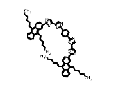 CCCCCCc1c2ccccc2c(CCCCCC)c2cc(-c3ncc(-c4cnc(-c5ccc(-c6ncc(-c7cnc(-c8ccc9c(CCCCCC)c%10ccccc%10c(CCCCCC)c9c8)s7)s6)cc5)s4)s3)ccc12